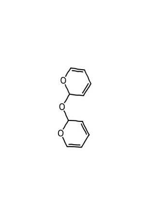 C1=COC(OC2C=CC=CO2)C=C1